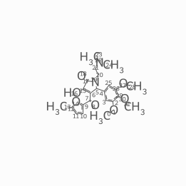 COc1cc(C2C(C(=O)c3ccc(C)o3)=C(O)C(=O)N2CCN(C)C)cc(OC)c1OC